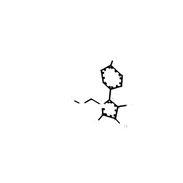 CCOCn1c(Br)c(C#N)c(F)c1-c1ccc(Cl)cc1